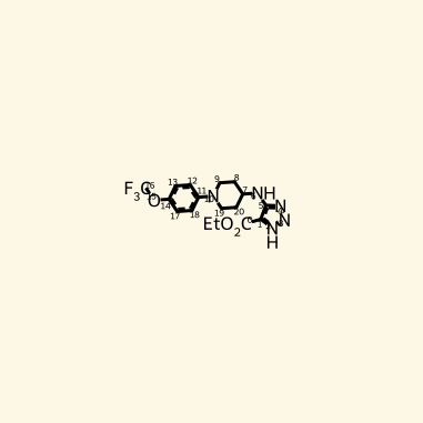 CCOC(=O)c1[nH]nnc1NC1CCN(c2ccc(OC(F)(F)F)cc2)CC1